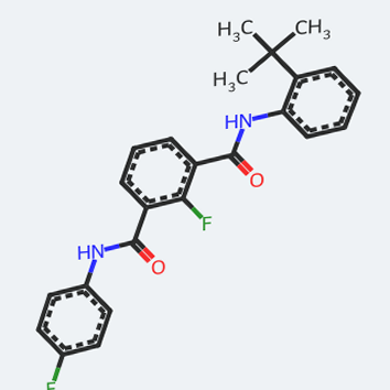 CC(C)(C)c1ccccc1NC(=O)c1cccc(C(=O)Nc2ccc(F)cc2)c1F